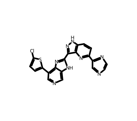 Clc1ccc(-c2cncc3[nH]c(-c4n[nH]c5ccc(-c6cnccn6)nc45)nc23)s1